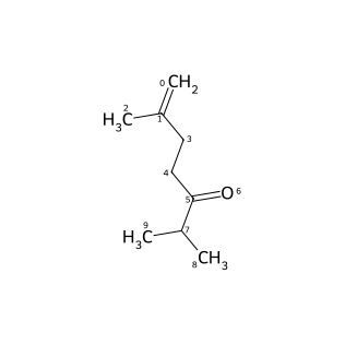 C=C(C)CCC(=O)C(C)C